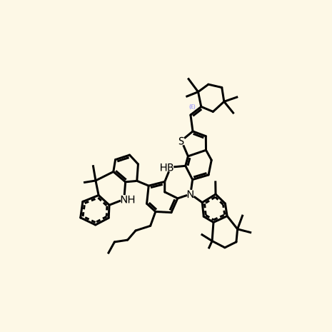 CCCCCC1=CC(C2CC=CC3=C2Nc2ccccc2C3(C)C)=C2BC3=C4SC(/C=C5\CC(C)(C)CCC5(C)C)=CC4CC=C3N(c3cc4c(cc3C)C(C)(C)CCC4(C)C)C(=C1)C2